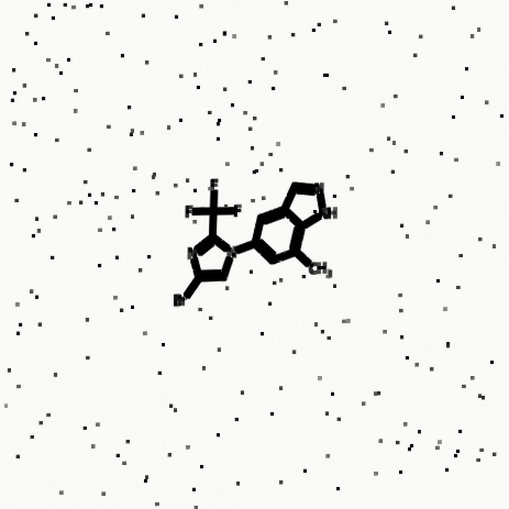 Cc1cc(-n2cc(Br)nc2C(F)(F)F)cc2cn[nH]c12